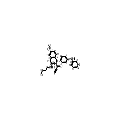 C#CC(=O)N1[C@@H](c2ccc(Nc3cccnc3)cc2)c2ccc(OC)cc2C[C@@H]1NCCCC